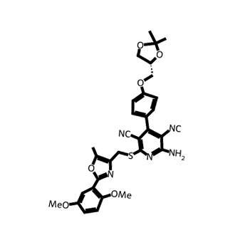 [C-]#[N+]c1c(N)nc(SCc2nc(-c3cc(OC)ccc3OC)oc2C)c(C#N)c1-c1ccc(OC[C@@H]2COC(C)(C)O2)cc1